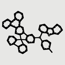 Cc1ccc(N(c2ccc3c(c2)-c2cc4c5ccccc5c5ccccc5c4cc2C32c3ccccc3-c3ccccc32)c2cccc3c2oc2ccccc23)cc1